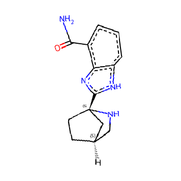 NC(=O)c1cccc2[nH]c([C@@]34CC[C@H](CN3)C4)nc12